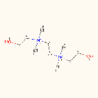 CC[N+](CC)(CCO)CC[N+](CC)(CC)CCO